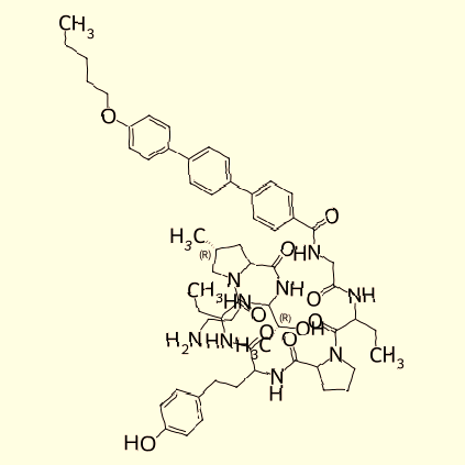 CCCCCOc1ccc(-c2ccc(-c3ccc(C(=O)NCC(=O)NC(CC)C(=O)N4CCCC4C(=O)NC(CCc4ccc(O)cc4)C(=O)NC(CC)C(=O)N4C[C@H](C)CC4C(=O)NC(NCCN)[C@@H](C)O)cc3)cc2)cc1